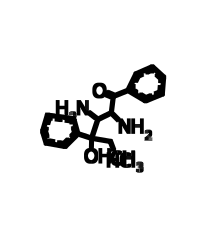 CCC(O)(c1ccccc1)C(N)C(N)C(=O)c1ccccc1.Cl